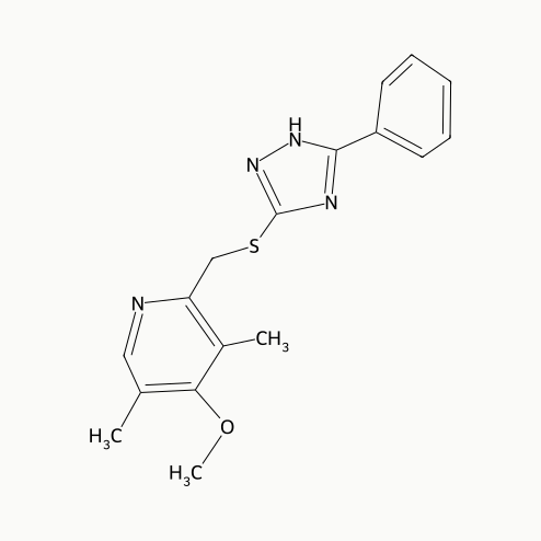 COc1c(C)cnc(CSc2n[nH]c(-c3ccccc3)n2)c1C